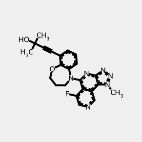 Cn1nnc2nc(N3CCCOc4c(C#CC(C)(C)O)cccc43)c3c(F)cncc3c21